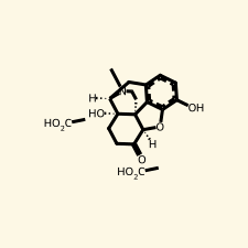 CC(=O)O.CC(=O)O.CN1CC[C@]23c4c5ccc(O)c4O[C@H]2C(=O)CC[C@@]3(O)[C@H]1C5